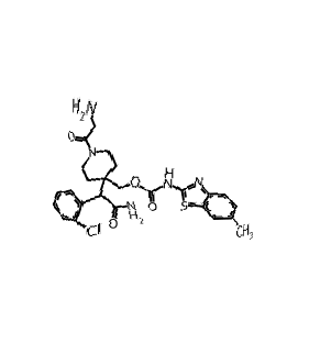 Cc1ccc2nc(NC(=O)OCC3(C(C(N)=O)c4ccccc4Cl)CCN(C(=O)CN)CC3)sc2c1